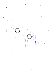 CCN(C)/C=N\c1cc(C)c(C(=O)CSc2cccc(C(F)(F)F)c2)cc1Cl